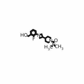 CN(C)C(=O)N1CCC(C2CN(c3cccc(CO)c3F)C2)CC1